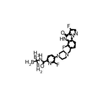 BC(B)(B)NC(=O)c1ccc(N2CCN(Cc3ccc4c([nH]c(=O)c5c(F)cnn54)c3F)CC2)c(F)n1